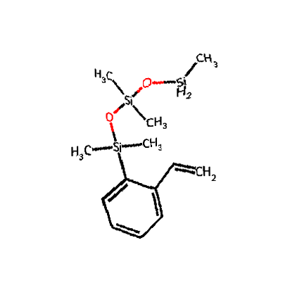 C=Cc1ccccc1[Si](C)(C)O[Si](C)(C)O[SiH2]C